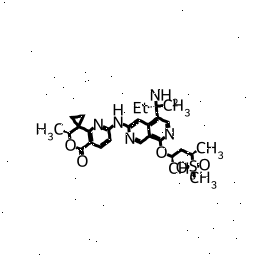 CC[C@@](C)(N)c1cnc(O[C@H](C)C[C@@H](C)S(C)(=O)=O)c2cnc(Nc3ccc4c(n3)C3(CC3)[C@H](C)OC4=O)cc12